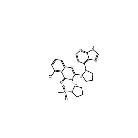 CS(=O)(=O)N1CCC[C@H]1n1c([C@@H]2CCCN2c2ncnc3[nH]cnc23)nc2cccc(Cl)c2c1=O